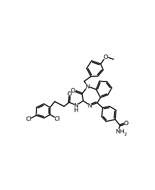 COc1ccc(CN2C(=O)C(NC(=O)CCc3ccc(Cl)cc3Cl)N=C(c3ccc(C(N)=O)cc3)c3ccccc32)cc1